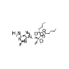 C#CC(COC(=O)CCCC)(OC)[C@H](Cn1cnc2c(N)nc(F)nc21)OC(=O)CCCC